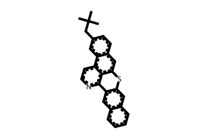 CC(C)(C)Cc1ccc2cc3c4c(nccc4c2c1)-c1cc2ccccc2cc1S3